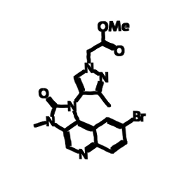 COC(=O)Cn1cc(-n2c(=O)n(C)c3cnc4ccc(Br)cc4c32)c(C)n1